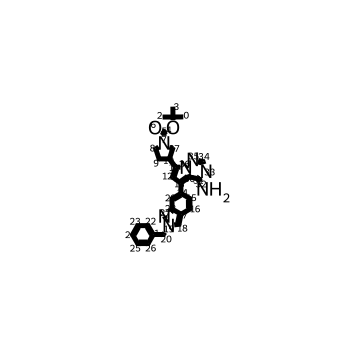 CC(C)(C)OC(=O)N1CCC(c2cc(-c3ccc4cn(Cc5ccccc5)nc4c3)c3c(N)ncnn23)C1